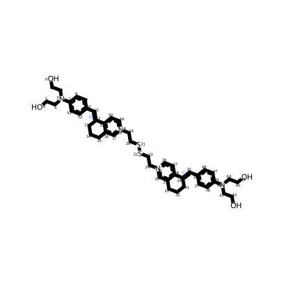 OCCN(CCO)c1ccc(/C=C2\CCCc3c[n+](CCSSCC[n+]4ccc5c(c4)CCC/C5=C\c4ccc(N(CCO)CCO)cc4)ccc32)cc1